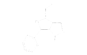 CC1OCC2C(CC(C)(C)C)NC(c3ccccc3)C12